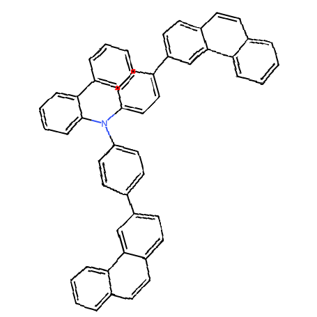 c1ccc(-c2ccccc2N(c2ccc(-c3ccc4ccc5ccccc5c4c3)cc2)c2ccc(-c3ccc4ccc5ccccc5c4c3)cc2)cc1